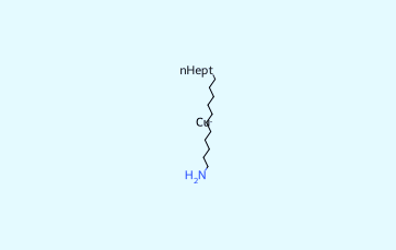 CCCCCCCCCCCCCCCCCCN.[Cu]